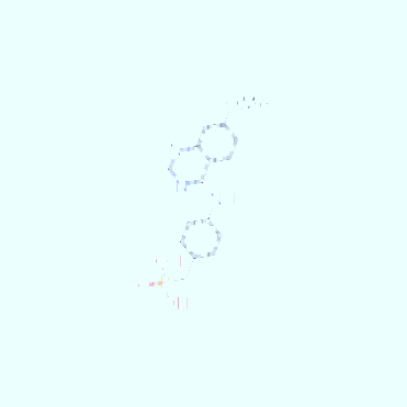 COc1ccc2c(Nc3ccc(CP(=O)(O)O)cc3)ncnc2c1